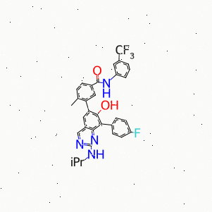 Cc1ccc(C(=O)Nc2cccc(C(F)(F)F)c2)cc1-c1cc2cnc(NC(C)C)nc2c(-c2ccc(F)cc2)c1O